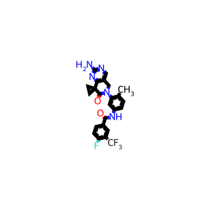 Cc1ccc(NC(=O)c2ccc(F)c(C(F)(F)F)c2)cc1N1Cc2cnc(N)nc2C2(CC2)C1=O